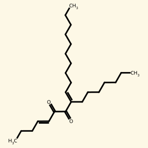 CCCC=CC(=O)C(=O)C(=CCCCCCCCCC)CCCCCCC